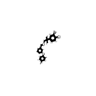 CC(C)(COCc1cccc(Oc2ccc(F)cc2)c1)c1ccc(Cl)c(Br)c1